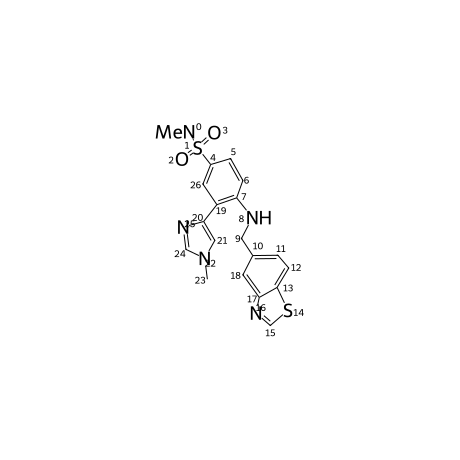 CNS(=O)(=O)c1ccc(NCc2ccc3scnc3c2)c(-c2cn(C)cn2)c1